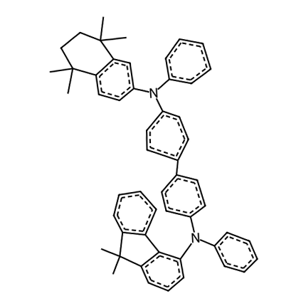 CC1(C)CCC(C)(C)c2cc(N(c3ccccc3)c3ccc(-c4ccc(N(c5ccccc5)c5cccc6c5-c5ccccc5C6(C)C)cc4)cc3)ccc21